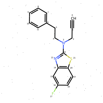 C#CCN(CCc1ccccc1)c1nc2cc(F)ccc2s1